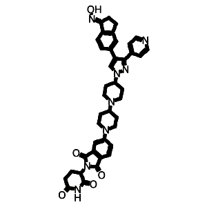 O=C1CCC(N2C(=O)c3ccc(N4CCC(N5CCC(n6cc(-c7ccc8c(c7)CC/C8=N\O)c(-c7ccncc7)n6)CC5)CC4)cc3C2=O)C(=O)N1